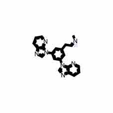 C/N=C\Cc1cc(-n2cnc3cccnc32)cc(-n2cnc3cccnc32)c1